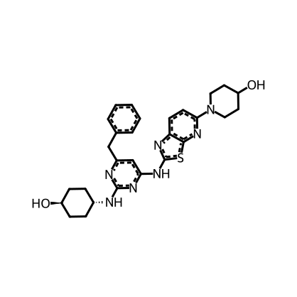 OC1CCN(c2ccc3nc(Nc4cc(Cc5ccccc5)nc(N[C@H]5CC[C@H](O)CC5)n4)sc3n2)CC1